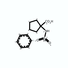 O=C(O)C1(N[SH](=O)=O)CCCC1.c1ccccc1